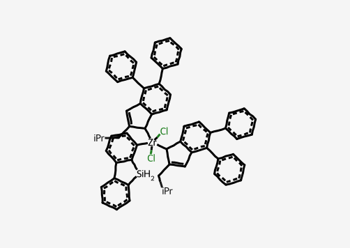 CC(C)CC1=Cc2c(ccc(-c3ccccc3)c2-c2ccccc2)[CH]1[Zr]([Cl])([Cl])([c]1cccc2c1[SiH2]c1ccccc1-2)[CH]1C(CC(C)C)=Cc2c1ccc(-c1ccccc1)c2-c1ccccc1